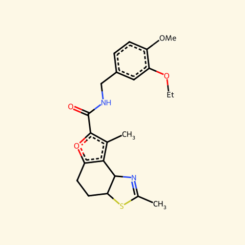 CCOc1cc(CNC(=O)c2oc3c(c2C)C2N=C(C)SC2CC3)ccc1OC